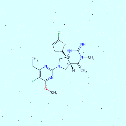 C=C1[C@@H]2CN(c3nc(CC)c(F)c(OC)n3)C[C@]2(c2ccc(Cl)s2)NC(=N)N1C